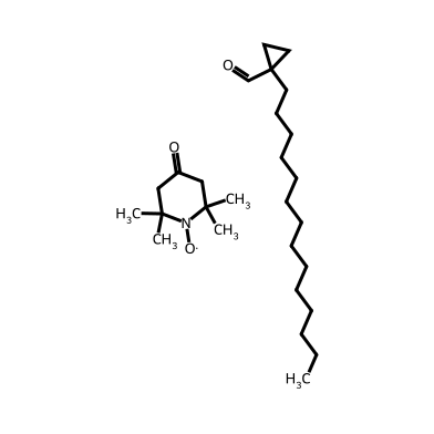 CC1(C)CC(=O)CC(C)(C)N1[O].CCCCCCCCCCCCCCC1(C=O)CC1